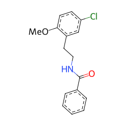 COc1ccc(Cl)cc1CCNC(=O)c1ccccc1